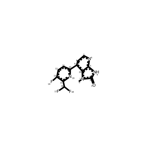 Cn1c(=O)[nH]c2nccc(-c3ccc(F)c(C(F)F)n3)c21